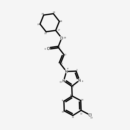 O=C(/C=C/n1cnc(-c2cccc(Cl)c2)n1)OC1CCCCC1